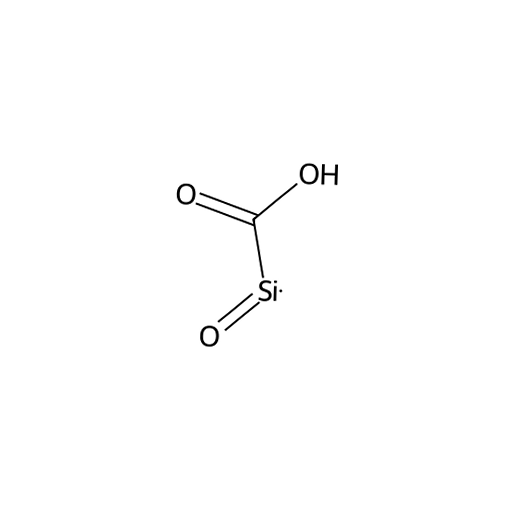 O=[Si]C(=O)O